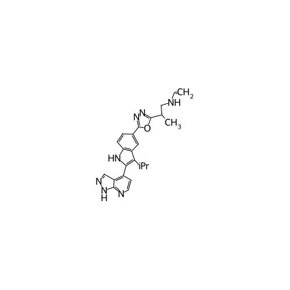 C=CNCC(C)c1nnc(-c2ccc3[nH]c(-c4ccnc5[nH]ncc45)c(C(C)C)c3c2)o1